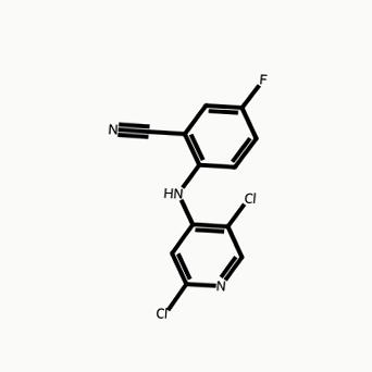 N#Cc1cc(F)ccc1Nc1cc(Cl)ncc1Cl